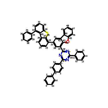 c1ccc(-c2ccc(-c3nc(-c4ccccc4)nc(-c4cc(-c5cccc6c5sc5cccc(-c7ccccc7)c56)cc5c4oc4ccccc45)n3)cc2)cc1